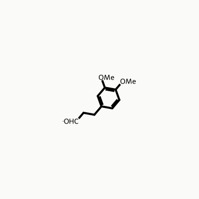 COc1ccc(CC[C]=O)cc1OC